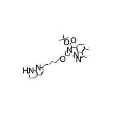 Cc1ccc(C(C(=O)OC(C)(C)C)N2CC(OCCCCCc3ccc4c(n3)NCCC4)C2)c2c1c(C)nn2C